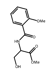 COC(=O)C(CO)NC(=O)c1ccccc1OC